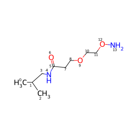 CC(C)CNC(=O)CCOCCON